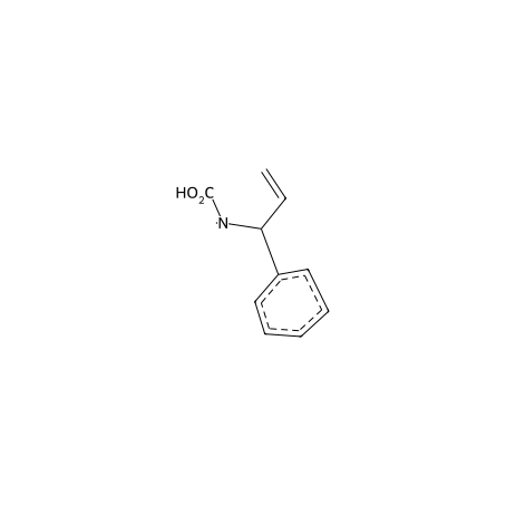 C=CC([N]C(=O)O)c1ccccc1